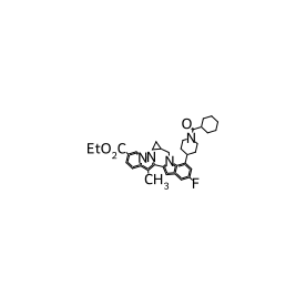 CCOC(=O)c1ccc2c(C)c(-c3cc4cc(F)cc(C5CCN(C(=O)C6CCCCC6)CC5)c4n3CC3CC3)nn2c1